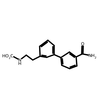 NC(=O)c1cccc(-c2cccc(CCNC(=O)O)c2)c1